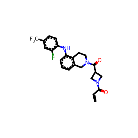 C=CC(=O)N1CC(C(=O)N2CCc3c(cccc3Nc3ccc(C(F)(F)F)cc3F)C2)C1